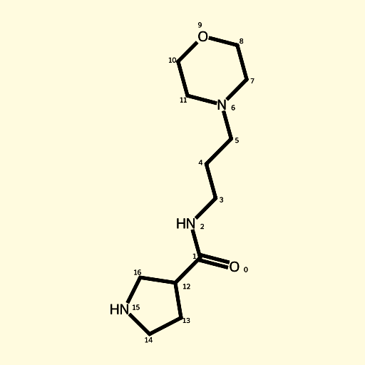 O=C(NCCCN1CCOCC1)C1CCNC1